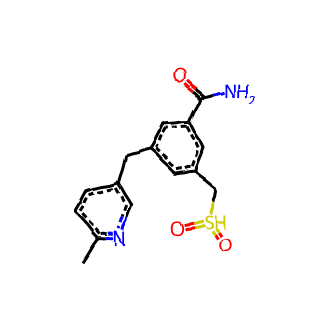 Cc1ccc(Cc2cc(C[SH](=O)=O)cc(C(N)=O)c2)cn1